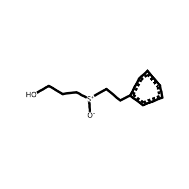 [O-][S+](CCCO)CCc1ccccc1